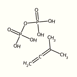 C=C=C(C)C.O=P(O)(O)OP(=O)(O)O